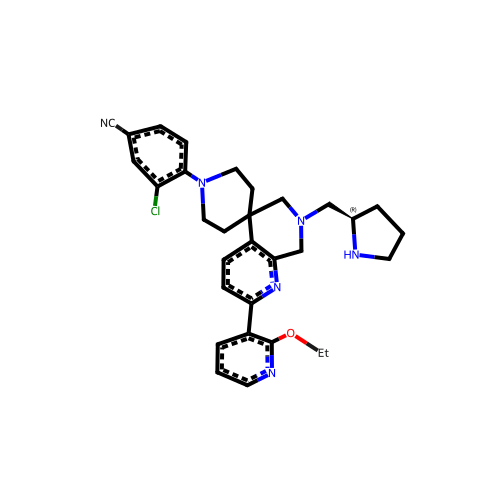 CCOc1ncccc1-c1ccc2c(n1)CN(C[C@H]1CCCN1)CC21CCN(c2ccc(C#N)cc2Cl)CC1